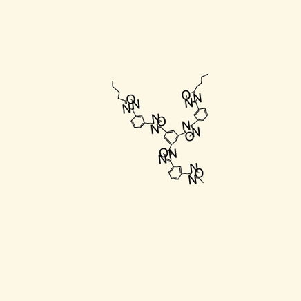 CCCCc1nc(-c2cccc(-c3noc(-c4cc(-c5nc(-c6cccc(-c7noc(C)n7)c6)no5)cc(-c5nc(-c6cccc(-c7noc(CCCC)n7)c6)no5)c4)n3)c2)no1